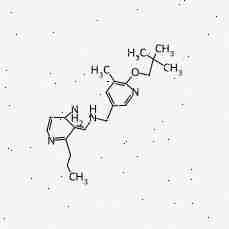 CCCC1=NC=CC(N)/C1=C\NCc1cnc(OCC(C)(C)C)c(C)c1